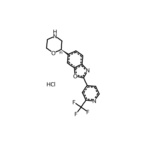 Cl.FC(F)(F)c1cc(-c2nc3ccc([C@@H]4CNCCO4)cc3o2)ccn1